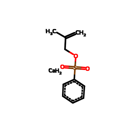 C=C(C)COS(=O)(=O)c1ccccc1.[CaH2]